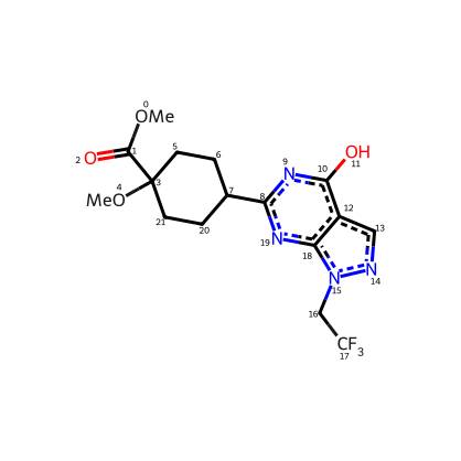 COC(=O)C1(OC)CCC(c2nc(O)c3cnn(CC(F)(F)F)c3n2)CC1